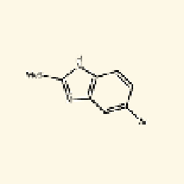 CSc1nc2cc(C(C)=O)ccc2[nH]1